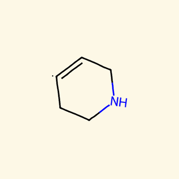 [C]1=CCNCC1